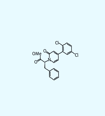 COC(=O)[C@H](Cc1ccccc1)n1ccc(-c2cc(Cl)ccc2Cl)cc1=O